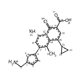 Cc1c(-c2ccc(CN)o2)ccn2c(=O)c(C(=O)O)cc(C3CC3)c12.[KH]